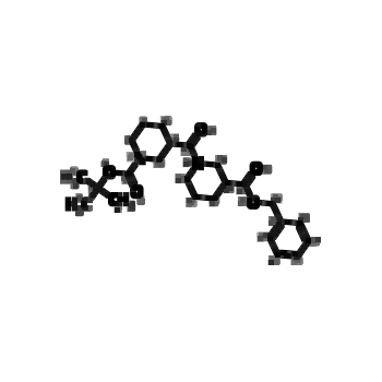 CC(C)(C)OC(=O)N1CCCC(C(=O)N2CCCC(C(=O)OCc3ccccc3)C2)C1